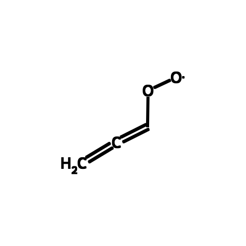 C=C=CO[O]